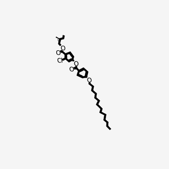 CCCCCCCCCCCCCCOc1ccc(C(=O)Oc2ccc(C(=O)OC[C@@H](C)CC)c(Cl)c2)cc1